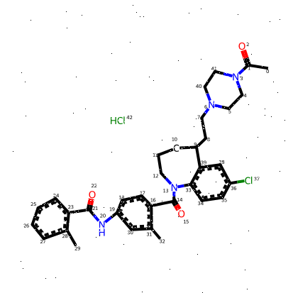 CC(=O)N1CCN(CCC2CCCN(C(=O)c3ccc(NC(=O)c4ccccc4C)cc3C)c3ccc(Cl)cc32)CC1.Cl